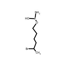 CC(Br)CCCCOP(N)O